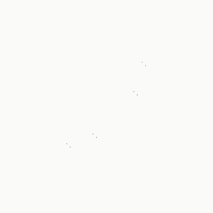 Cc1cc(NC(N)=O)ccc1NC(N)=O